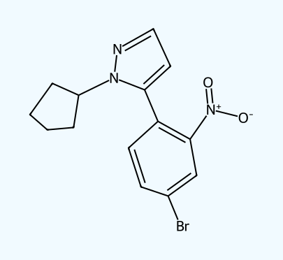 O=[N+]([O-])c1cc(Br)ccc1-c1ccnn1C1CCCC1